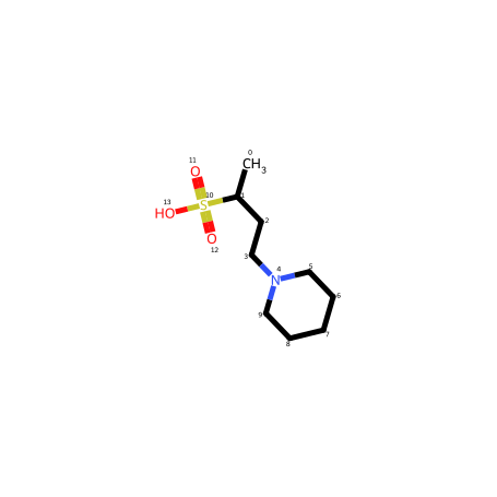 CC(CCN1CCCCC1)S(=O)(=O)O